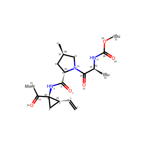 C=C[C@@H]1C[C@]1(NC(=O)[C@@H]1C[C@@H](C)CN1C(=O)[C@@H](NC(=O)OC(C)(C)C)C(C)(C)C)C(=O)NC